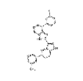 Cc1cncc(-c2ccc3[nH]nc(-c4nc5c(-c6cccc(F)c6)cncc5[nH]4)c3n2)c1